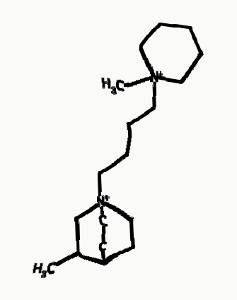 CC1C[N+]2(CCCC[N+]3(C)CCCCC3)CCC1CC2